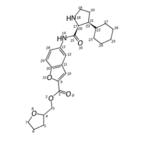 O=C(OCC1CCCO1)c1cc2cc(NC(=O)[C@H]3NCC[C@H]3C3CCCCC3)ccc2o1